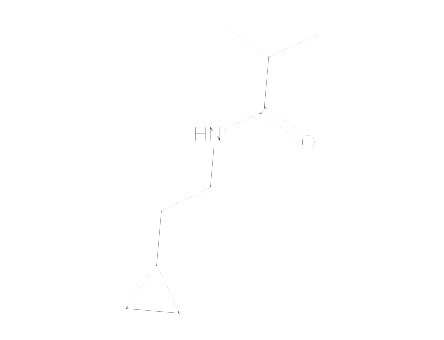 CC(C)C(=O)NCCC1CC1